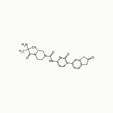 CC(C)(N)C(=O)N1CCN(C(=O)Nc2ccn(-c3ccc4c(c3)CC(=O)C4)c(=O)n2)CC1